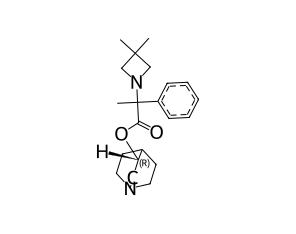 CC1(C)CN(C(C)(C(=O)O[C@H]2CN3CCC2CC3)c2ccccc2)C1